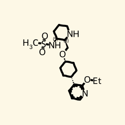 CCOc1ncccc1[C@H]1CC[C@@H](OC[C@@H]2NCCC[C@@H]2NS(C)(=O)=O)CC1